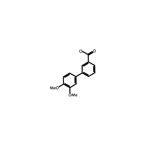 COc1ccc(-c2cccc(C(=O)Cl)c2)cc1OC